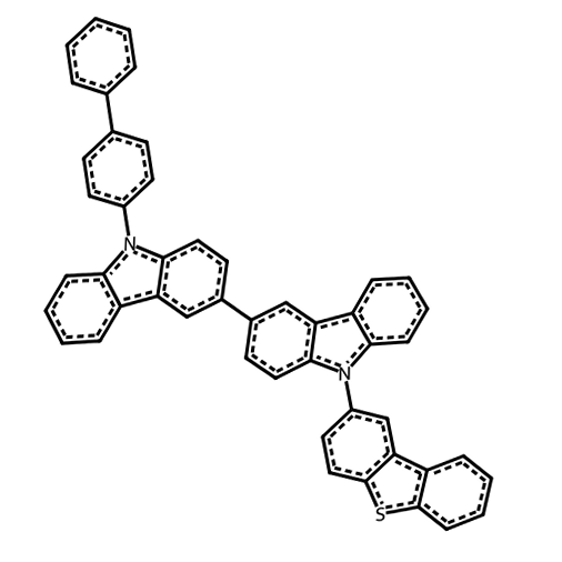 c1ccc(-c2ccc(-n3c4ccccc4c4cc(-c5ccc6c(c5)c5ccccc5n6-c5ccc6sc7ccccc7c6c5)ccc43)cc2)cc1